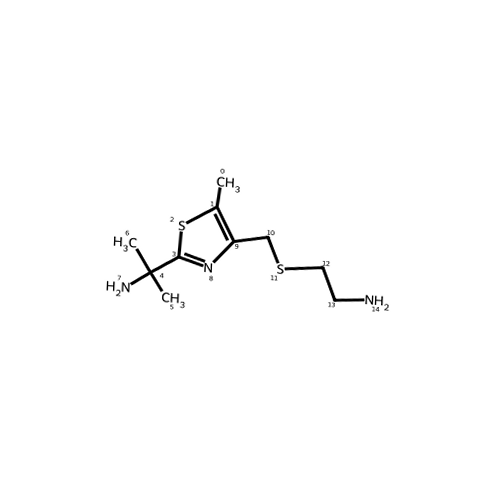 Cc1sc(C(C)(C)N)nc1CSCCN